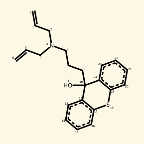 C=CCN(CC=C)CCCC1(O)c2ccccc2Sc2ccccc21